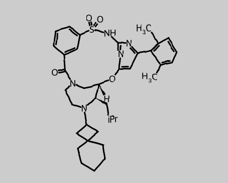 Cc1cccc(C)c1-c1cc2nc(n1)NS(=O)(=O)c1cccc(c1)C(=O)N1CCN(C3CC4(CCCCC4)C3)[C@H](CC(C)C)[C@H](C1)O2